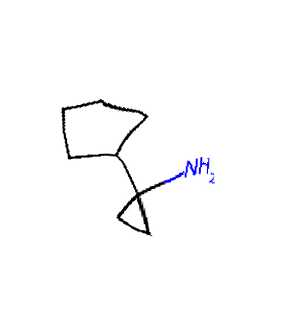 NC1(C2CCCC2)CC1